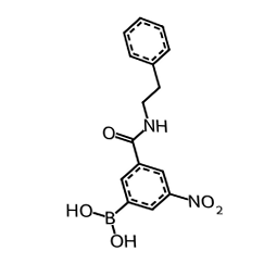 O=C(NCCc1ccccc1)c1cc(B(O)O)cc([N+](=O)[O-])c1